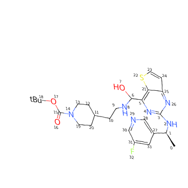 C[C@H](Nc1nc(C(O)NCCC2CCN(C(=O)OC(C)(C)C)CC2)c2sccc2n1)c1cncc(F)c1